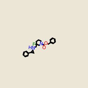 O=C(OCc1ccccc1)N1CCCC(F)(CNC2CC2c2ccccc2)C1